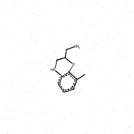 Cc1cccc2c1OC(CN)CN2